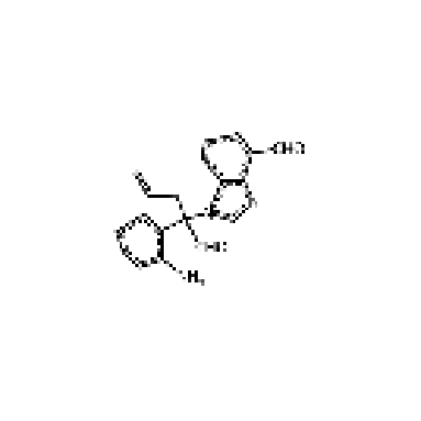 C=CCC([C]=O)(c1ccccc1N)n1cnc2c(C=O)cccc21